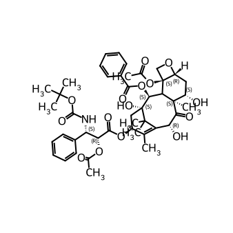 CC(=O)O[C@@H](C(=O)O[C@H]1C[C@@]2(O)[C@@H](OC(=O)c3ccccc3)C3[C@](C)(C(=O)[C@H](O)C(=C1C)C2(C)C)[C@@H](O)C[C@H]1OC[C@@]31OC(C)=O)[C@@H](NC(=O)OC(C)(C)C)c1ccccc1